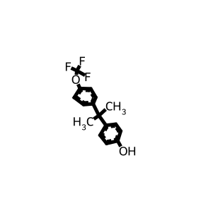 CC(C)(c1ccc(O)cc1)c1ccc(OC(F)(F)F)cc1